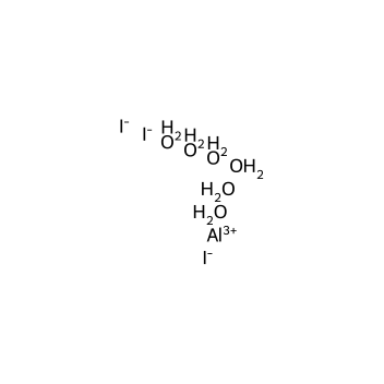 O.O.O.O.O.O.[Al+3].[I-].[I-].[I-]